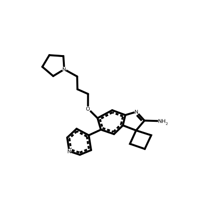 NC1=Nc2cc(OCCCN3CCCC3)c(-c3ccncc3)cc2C12CCC2